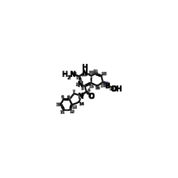 NC1=NC(C(=O)N2Cc3ccccc3C2)=C2C/C(=B/O)C=CC2N1